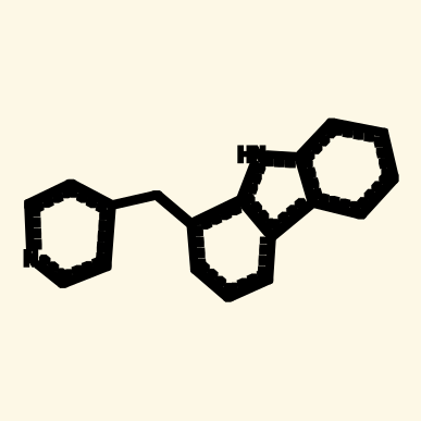 c1ccc2c(c1)[nH]c1c(Cc3ccncc3)cccc12